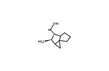 O=CBN1C2CCCC23CC3[C@H]1C(=O)O